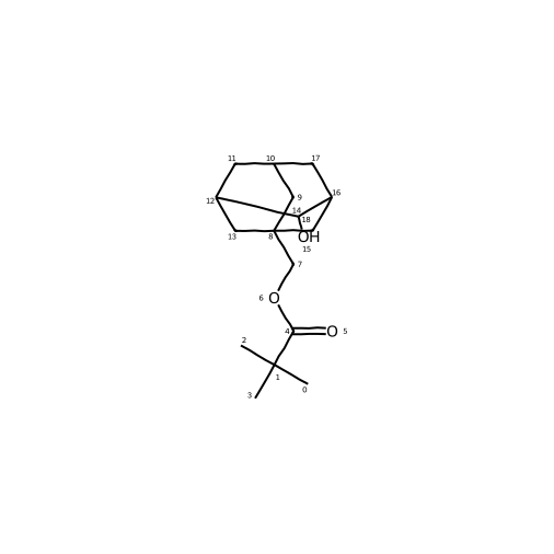 CC(C)(C)C(=O)OCC12CC3CC(C1)C(O)C(C3)C2